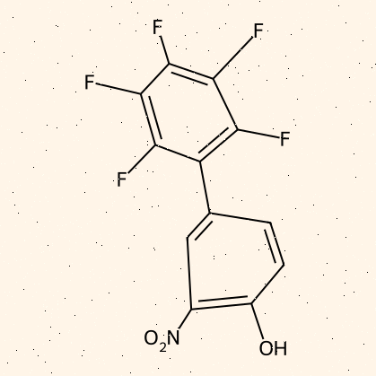 O=[N+]([O-])c1cc(-c2c(F)c(F)c(F)c(F)c2F)ccc1O